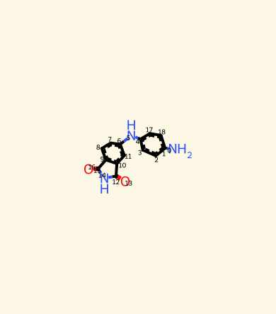 Nc1ccc(Nc2ccc3c(c2)C(=O)NC3=O)cc1